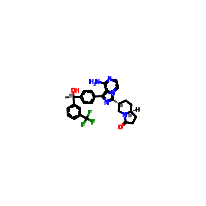 C[C@](O)(c1ccc(-c2nc([C@@H]3CC[C@H]4CCC(=O)N4C3)n3ccnc(N)c23)cc1)c1cccc(C(F)(F)F)c1